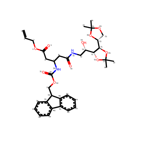 C=CCOC(=O)CC(CC(=O)NC[C@H](O)[C@H]1OC(C)(C)O[C@@H]1[C@H]1COC(C)(C)O1)NC(=O)OCC1c2ccccc2-c2ccccc21